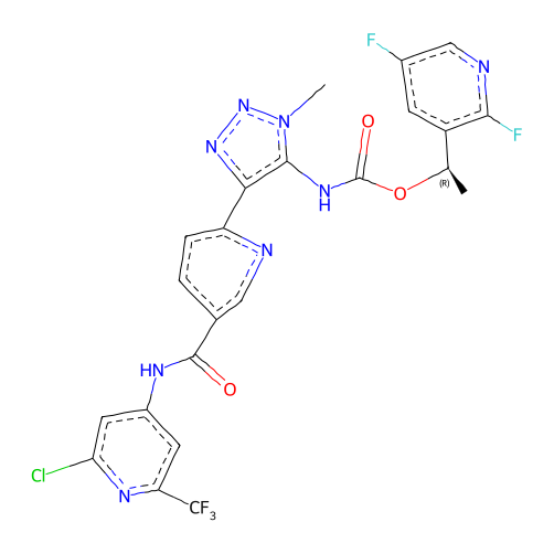 C[C@@H](OC(=O)Nc1c(-c2ccc(C(=O)Nc3cc(Cl)nc(C(F)(F)F)c3)cn2)nnn1C)c1cc(F)cnc1F